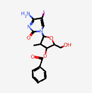 CC1C(OC(=O)c2ccccc2)C(CO)OC1n1cc(I)c(N)nc1=O